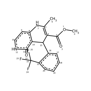 COC(=O)C1=C(C)Nc2cc[nH]c(=O)c2C1c1ccccc1C(F)(F)F